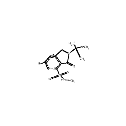 CNS(=O)(=O)c1cc(Br)cc2c1C(=O)N(C(C)(C)C)C2